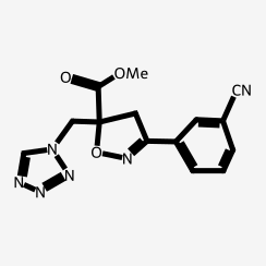 COC(=O)C1(Cn2cnnn2)CC(c2cccc(C#N)c2)=NO1